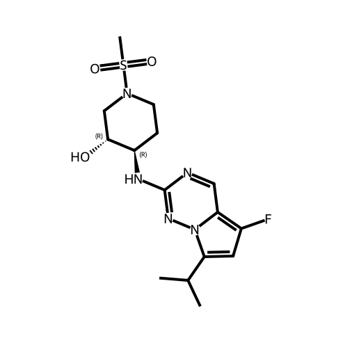 CC(C)c1cc(F)c2cnc(N[C@@H]3CCN(S(C)(=O)=O)C[C@H]3O)nn12